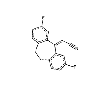 N#CC=C1c2cc(F)ccc2CCc2ccc(F)cc21